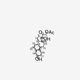 CC(=O)OCC(=O)[C@@]1(O)CC=C2c3cc(C)c4cc(O)ccc4c3CC[C@@]21C